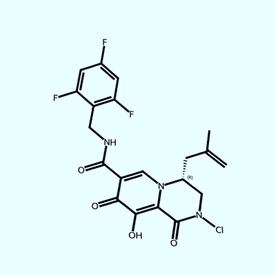 C=C(C)C[C@@H]1CN(Cl)C(=O)c2c(O)c(=O)c(C(=O)NCc3c(F)cc(F)cc3F)cn21